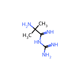 CC(C)(N)C(=N)NC(=N)N